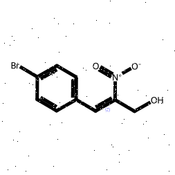 O=[N+]([O-])/C(=C\c1ccc(Br)cc1)CO